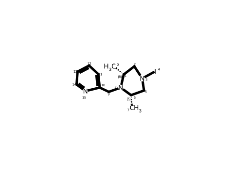 C[C@@H]1CN(I)C[C@H](C)N1Cc1ccccn1